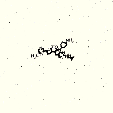 Cc1cncc(-c2ccc(-c3cc4cnc(NCC5CC5)nc4n([C@H]4CC[C@H](N)CC4)c3=O)c(Cl)c2)n1